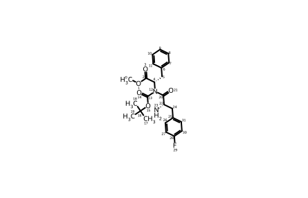 COC(=O)[C@H](Cc1ccccc1)N(C(=O)OC(C)(C)C)C(=O)[C@@H](N)Cc1ccc(F)cc1